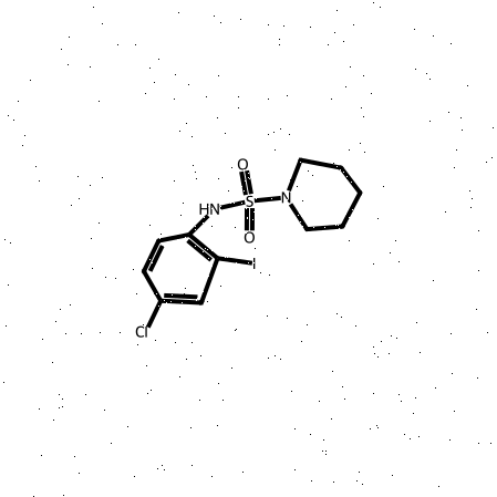 O=S(=O)(Nc1ccc(Cl)cc1I)N1CCCCC1